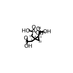 O=C(O)CC1(CP(=O)(O)O)CC1C(=O)O